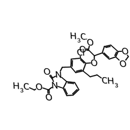 CCCc1cc(Cn2c(=O)n(C(=O)OCC)c3ccccc32)cc(Cl)c1OC(C(=O)OC)c1ccc2c(c1)OCO2